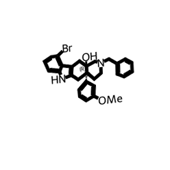 COc1cccc([C@@]23CCN(Cc4ccccc4)C[C@@]2(O)Cc2c([nH]c4cccc(Br)c24)C3)c1